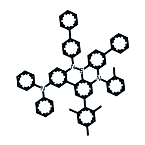 Cc1cc(C)c(-c2cc3c4c(c2)N(c2ccccc2C)c2cc(-c5ccccc5)ccc2B4N(c2ccc(-c4ccccc4)cc2)c2ccc(N(c4ccccc4)c4ccccc4)cc2-3)c(C)c1